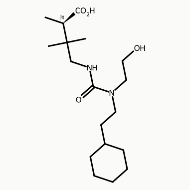 C[C@@H](C(=O)O)C(C)(C)CNC(=O)N(CCO)CCC1CCCCC1